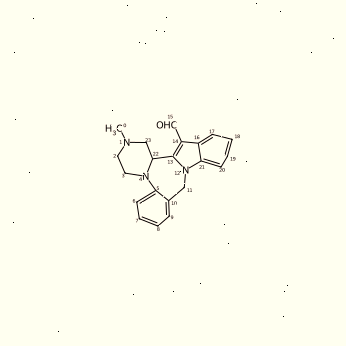 CN1CCN2c3ccccc3Cn3c(c(C=O)c4ccccc43)C2C1